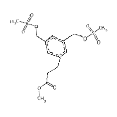 COC(=O)CCc1cc(COS(C)(=O)=O)cc(COS(C)(=O)=O)c1